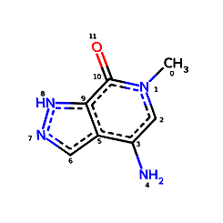 Cn1cc(N)c2cn[nH]c2c1=O